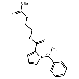 CC(C)COC(=O)OCCOC(=O)c1cncn1[C@H](C)c1ccccc1